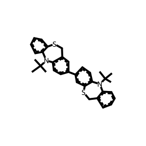 CC(C)(C)N1c2ccc(-c3ccc4c(c3)SCc3ccccc3N4C(C)(C)C)cc2CSc2ccccc21